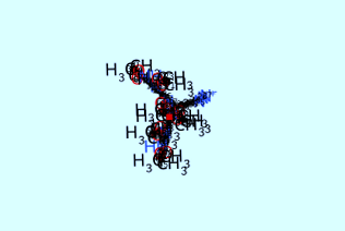 CC(C)(C)OC(=O)NCCCN(CCCCN(CC(CCCCCCN=[N+]=[N-])CN(CCCCN(CCCNC(=O)OC(C)(C)C)C(=O)OC(C)(C)C)C(=O)OC(C)(C)C)C(=O)OC(C)(C)C)C(=O)OC(C)(C)C